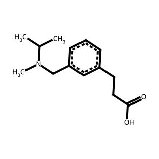 CC(C)N(C)Cc1cccc(CCC(=O)O)c1